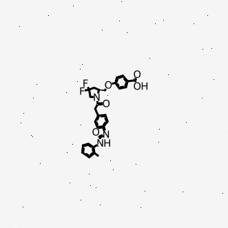 Cc1ccccc1Nc1nc2ccc(CC(=O)N3CC(F)(F)C[C@H]3COc3ccc(C(=O)O)cc3)cc2o1